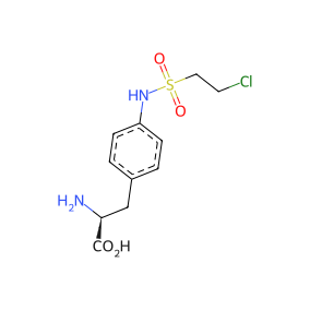 N[C@@H](Cc1ccc(NS(=O)(=O)CCCl)cc1)C(=O)O